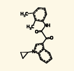 Cc1cccc(NC(=O)C(=O)c2cn(C3CC3)c3ccccc23)c1C